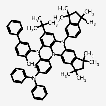 Cc1ccc(-c2ccccc2)cc1N1c2cc(N(c3ccccc3)c3ccccc3)ccc2B2c3cc4c(cc3N(c3ccc5c(c3)C(C)(C)CC5(C)C)c3cc(C(C)(C)C)cc1c32)C(C)(C)CC4(C)C